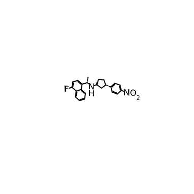 C[C@@H](NC1CC[C@@H](c2ccc([N+](=O)[O-])cc2)C1)c1ccc(F)c2ccccc12